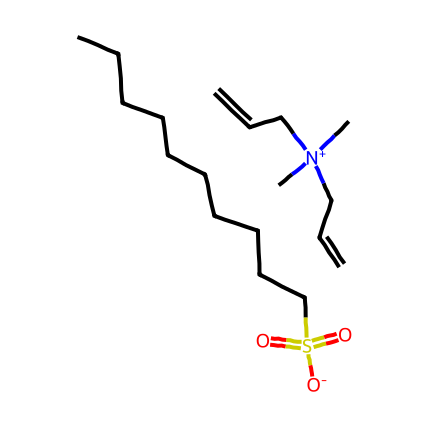 C=CC[N+](C)(C)CC=C.CCCCCCCCCCS(=O)(=O)[O-]